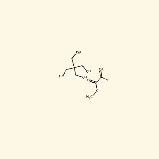 C=C(F)C(=O)OC.OCC(CO)(CO)CO